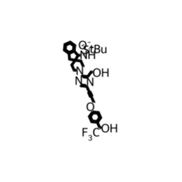 CC(C)(C)[S+]([O-])NC1c2ccccc2CC12CCN(c1ncc(C#CCOc3ccc(C(O)C(F)(F)F)cc3)nc1CO)CC2